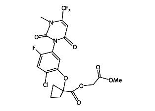 COC(=O)COC(=O)C1(Oc2cc(-n3c(=O)cc(C(F)(F)F)n(C)c3=O)c(F)cc2Cl)CCC1